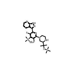 CC(C)(O[Si](C)(C)C)C1CN(c2nc(-c3n[nH]c4ncccc34)c(F)c([Si](C)(C)C(C)(C)C)c2F)CCN1